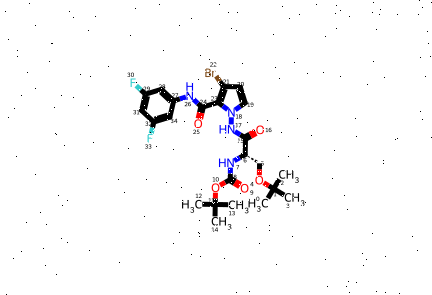 CC(C)(C)OC[C@H](NC(=O)OC(C)(C)C)C(=O)Nn1ccc(Br)c1C(=O)Nc1cc(F)cc(F)c1